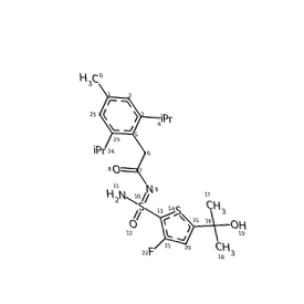 Cc1cc(C(C)C)c(CC(=O)N=S(N)(=O)c2sc(C(C)(C)O)cc2F)c(C(C)C)c1